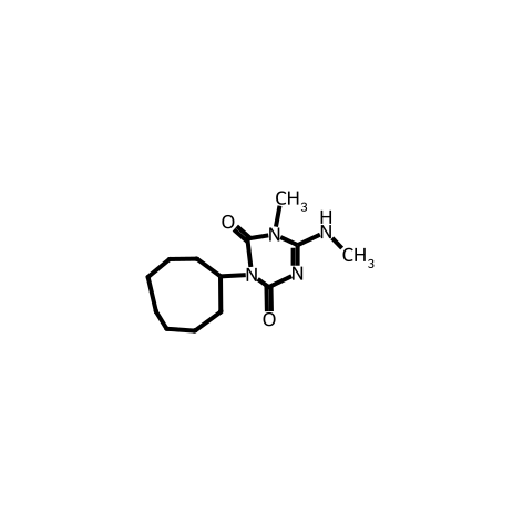 CNc1nc(=O)n(C2CCCCCCC2)c(=O)n1C